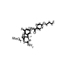 COC[C@]12CC1[C@@](C)(c1cc(NC(=O)c3cnc(OCCCF)cn3)cc(F)c1F)N=C(N)S2